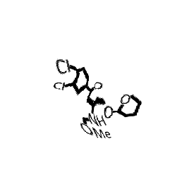 COCN/C(=C/C(=O)c1ccc(Cl)c(Cl)c1)CO[C@@H]1CCCCO1